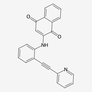 O=C1C=C(Nc2ccccc2C#Cc2ccccn2)C(=O)c2ccccc21